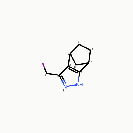 ICc1n[nH]c2c1C1CCC2C1